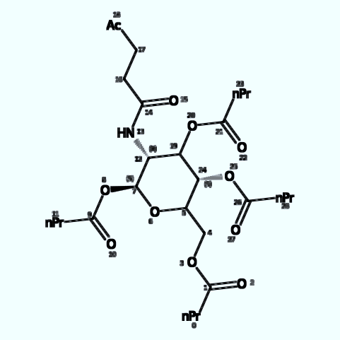 CCCC(=O)OCC1O[C@@H](OC(=O)CCC)[C@H](NC(=O)CCC(C)=O)C(OC(=O)CCC)[C@@H]1OC(=O)CCC